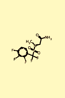 CN(CC(N)=O)S(=O)(=O)C(F)(F)c1ccc(F)c(F)c1F